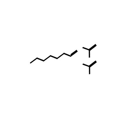 C=C(C)C.C=C(C)C.C=CCCCCCC